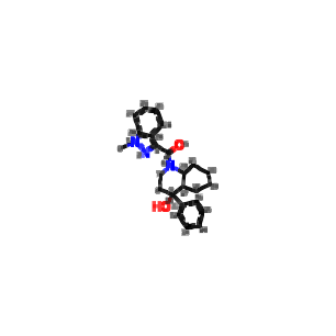 Cn1nc(C(=O)N2CCC(O)(c3ccccc3)C3CCCCC32)c2ccccc21